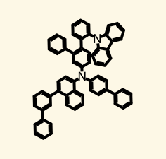 c1ccc(-c2ccc(N(c3ccc(-c4ccccc4-n4c5ccccc5c5ccccc54)c(-c4ccccc4)c3)c3ccc(-c4cccc(-c5ccccc5)c4)c4ccccc34)cc2)cc1